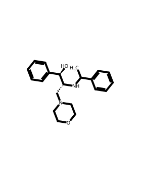 CC(N[C@H](CN1CCOCC1)[C@H](O)c1ccccc1)c1ccccc1